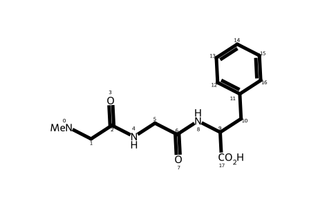 CNCC(=O)NCC(=O)NC(Cc1ccccc1)C(=O)O